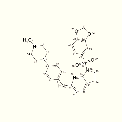 CN1CCN(c2ccc(Nc3ncc4ccn(S(=O)(=O)c5ccc6c(c5)OCO6)c4n3)cc2)CC1